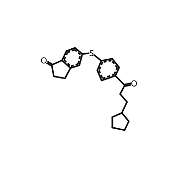 O=C(CCC1CCCC1)c1ccc(Sc2ccc3c(c2)CCC3=O)cc1